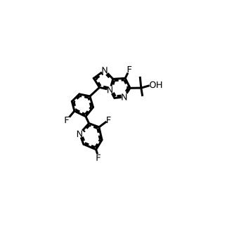 CC(C)(O)c1ncn2c(-c3ccc(F)c(-c4ncc(F)cc4F)c3)cnc2c1F